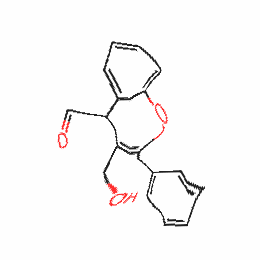 O=CC1C(CO)=C(c2ccccc2)Oc2ccccc21